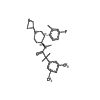 Cc1cc(F)ccc1[C@H]1CN(C2CSC2)CC[C@@H]1N(C)C(=O)C(C)(C)c1cc(C(F)(F)F)cc(C(F)(F)F)c1